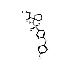 O=C(NO)C1(NS(=O)(=O)c2ccc(Oc3ccc(Cl)cc3)cc2)CCOC1